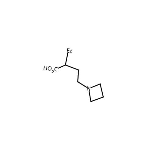 CCC(CCN1CCC1)C(=O)O